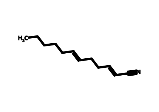 CCCCCC=CCCC=CC#N